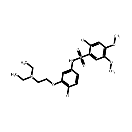 CCN(CC)CCOc1cc(NS(=O)(=O)c2cc(OC)c(OC)cc2Cl)ccc1Cl